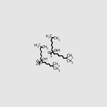 CC(C)CCCCCC(O)(CCCCCC(C)C)C([O-])=S.CC(C)CCCCCC(O)(CCCCCC(C)C)C([O-])=S.[Zn+2]